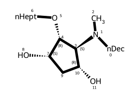 CCCCCCCCCCN(C)[C@@H]1[C@@H](OCCCCCCC)[C@@H](O)C[C@H]1O